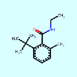 CCNC(=O)c1c(C)cccc1C(C)(C)C